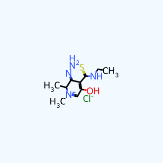 CCNC(=S)C1=C(O)C=[N+](C)C(C)C1=NN.[Cl-]